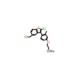 COCCOc1ccc(-c2c(Cl)sc3ccc(CCl)cc23)c(C)c1